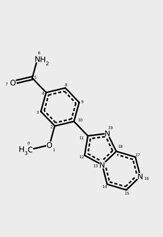 COc1cc(C(N)=O)ccc1-c1cn2ccncc2n1